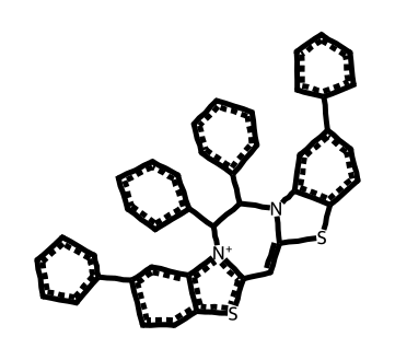 C1=C2Sc3ccc(-c4ccccc4)cc3N2C(c2ccccc2)C(c2ccccc2)[n+]2c1sc1ccc(-c3ccccc3)cc12